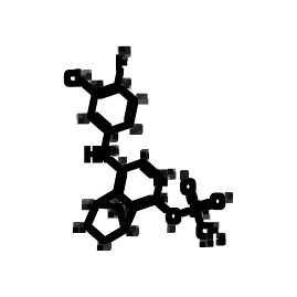 O=S(=O)(Oc1ncc(Nc2ccc(F)c(Cl)c2)c2c1C1CCC2C1)C(F)(F)F